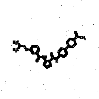 CC(=O)N1CCN(c2ccc(NC(=O)n3nccc3NC(=O)c3cccc(OCC(C)C)c3)cc2)CC1